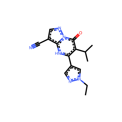 CCn1cc(-c2[nH]c3c(C#N)cnn3c(=O)c2C(C)C)cn1